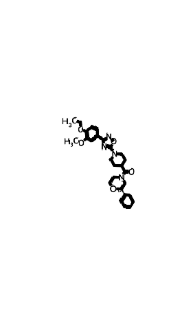 CCOc1ccc(-c2noc(N3CCC(C(=O)N4CCO[C@@H](c5ccccc5)C4)CC3)n2)cc1OC